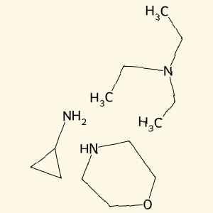 C1COCCN1.CCN(CC)CC.NC1CC1